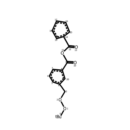 CC(C)(C)OOCc1cccc(C(=O)OC(=O)c2ccccc2)c1